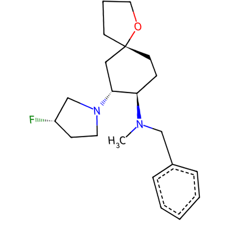 CN(Cc1ccccc1)[C@@H]1CC[C@]2(CCCO2)C[C@H]1N1CC[C@H](F)C1